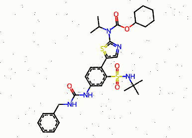 CC(C)N(C(=O)OC1CCCCC1)c1ncc(-c2ccc(NC(=O)NCc3ccccc3)cc2S(=O)(=O)NC(C)(C)C)s1